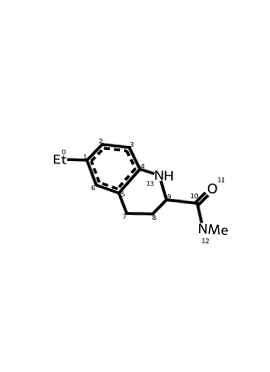 CCc1ccc2c(c1)CCC(C(=O)NC)N2